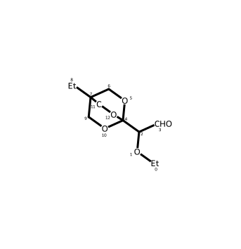 CCOC(C=O)C12OCC(CC)(CO1)CO2